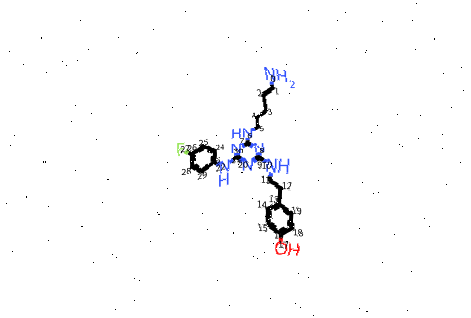 NCCCCCNc1nc(NCCc2ccc(O)cc2)nc(Nc2ccc(F)cc2)n1